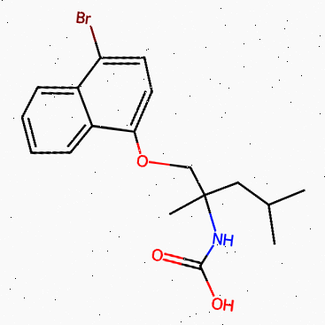 CC(C)CC(C)(COc1ccc(Br)c2ccccc12)NC(=O)O